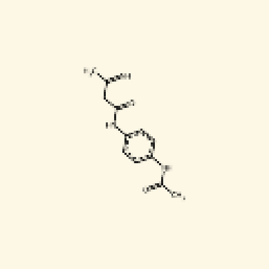 CC(=N)CC(=O)Nc1ccc(NC(C)=O)cc1